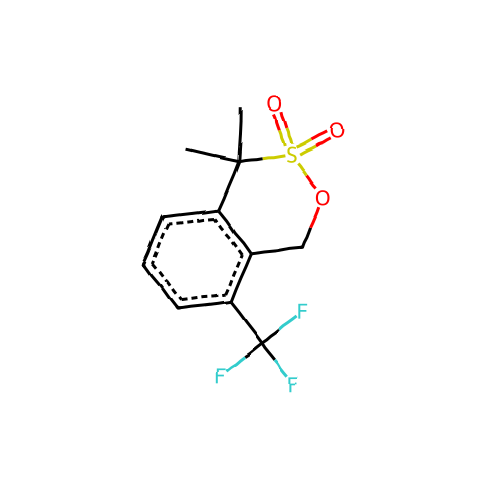 CC1(C)c2cccc(C(F)(F)F)c2COS1(=O)=O